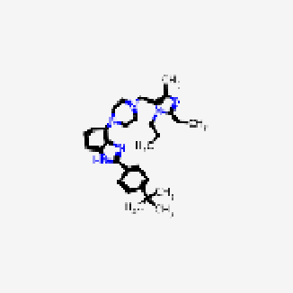 CCCn1c(CC)nc(C)c1CN1CCN(c2cccc3[nH]c(-c4ccc(C(C)(C)C)cc4)nc23)CC1